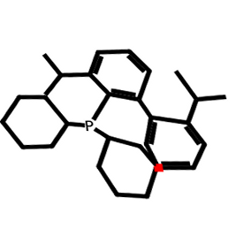 CC(C)c1ccccc1-c1cccc(C(C)C)c1P(C1CCCCC1)C1CCCCC1